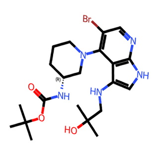 CC(C)(O)CNc1c[nH]c2ncc(Br)c(N3CCC[C@@H](NC(=O)OC(C)(C)C)C3)c12